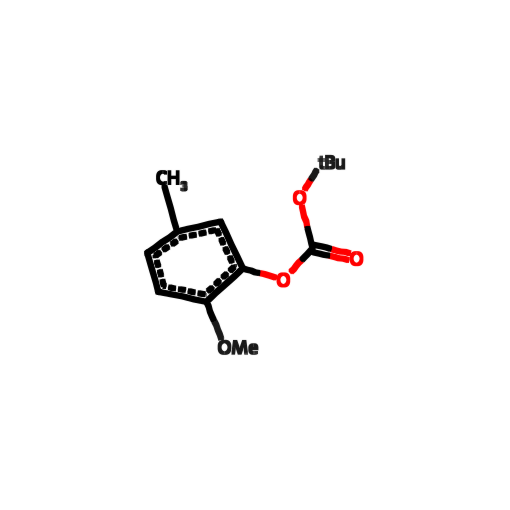 COc1ccc(C)cc1OC(=O)OC(C)(C)C